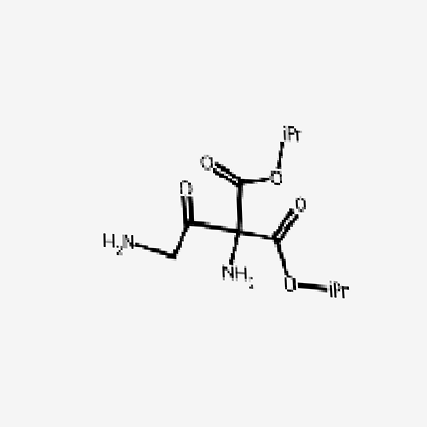 CC(C)OC(=O)C(N)(C(=O)CN)C(=O)OC(C)C